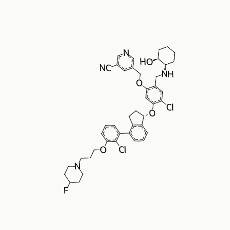 N#Cc1cncc(COc2cc(O[C@H]3CCc4c(-c5cccc(OCCCN6CCC(F)CC6)c5Cl)cccc43)c(Cl)cc2CN[C@@H]2CCCC[C@@H]2O)c1